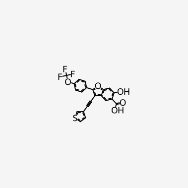 O=C(O)c1cc2c(C#Cc3ccsc3)c(-c3ccc(OC(F)(F)F)cc3)oc2cc1O